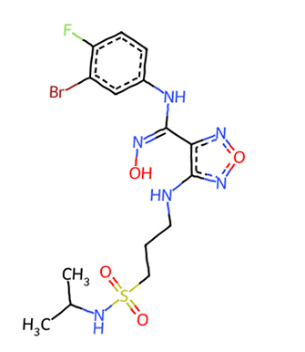 CC(C)NS(=O)(=O)CCCNc1nonc1C(=NO)Nc1ccc(F)c(Br)c1